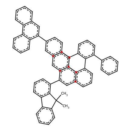 CC1(C)c2ccccc2-c2cccc(-c3cccc(N(c4ccc(-c5cc6ccccc6c6ccccc56)cc4)c4cccc(-c5ccccc5)c4-c4ccccc4-c4ccccc4)c3)c21